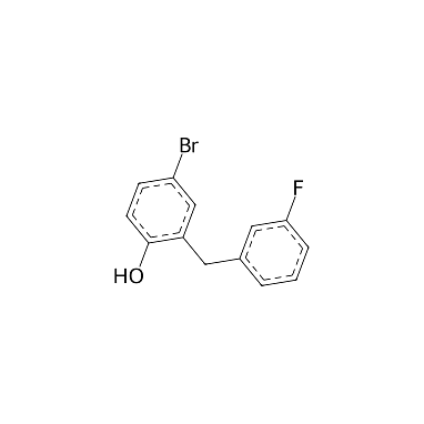 Oc1ccc(Br)cc1Cc1cccc(F)c1